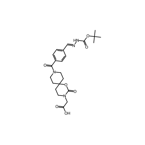 CC(C)(C)OC(=O)NN=Cc1ccc(C(=O)N2CCC3(CCN(CC(=O)O)C(=O)O3)CC2)cc1